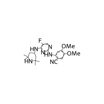 COc1cc(C#N)c(Nc2ncc(F)c(NC3CC(C)(C)NC(C)(C)C3)n2)cc1OC